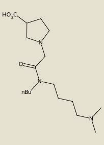 CCCCN(CCCCN(C)C)C(=O)CN1CCC(C(=O)O)C1